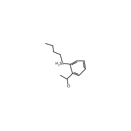 CCC[CH2][SnH2][c]1ccccc1C(C)Cl